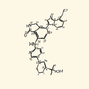 CC(C)(O)[C@H]1CCCN(c2ccc(Nc3cnc(-c4cnc5c(F)cccn45)c4c3C(=O)NC4)nc2)C1